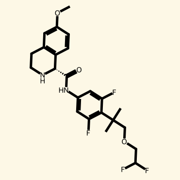 COc1ccc2c(c1)CCN[C@H]2C(=O)Nc1cc(F)c(C(C)(C)COCC(F)F)c(F)c1